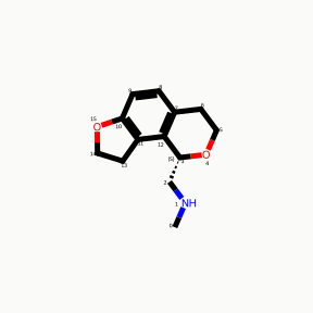 CNC[C@H]1OCCc2ccc3c(c21)CCO3